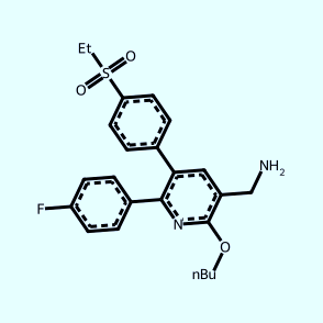 CCCCOc1nc(-c2ccc(F)cc2)c(-c2ccc(S(=O)(=O)CC)cc2)cc1CN